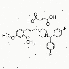 COc1ccc(C=CCN2CCN(C(c3ccc(F)cc3)c3ccc(F)cc3)CC2)c(OC)c1.O=C(O)C=CC(=O)O